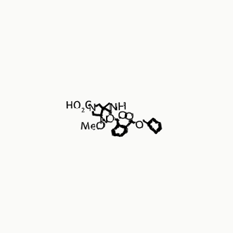 CON=C1CN(C(=O)O)CC12CNC2OC(=O)c1ccccc1C(=O)OCc1ccccc1